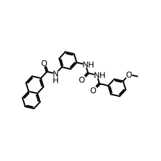 COc1cccc(C(=O)NC(=O)Nc2cccc(NC(=O)c3ccc4ccccc4c3)c2)c1